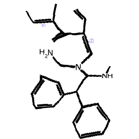 C=C/C(=C/N(CN)C(NC)C(c1ccccc1)c1ccccc1)C(=C)/C(C)=C/C